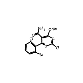 COc1nc(Cl)nc(-c2c(Cl)cccc2Br)c1C(N)=O